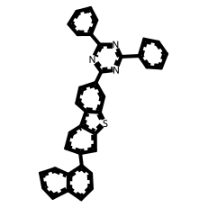 c1ccc(-c2nc(-c3ccccc3)nc(-c3ccc4c(c3)sc3cc(-c5cccc6ccccc56)ccc34)n2)cc1